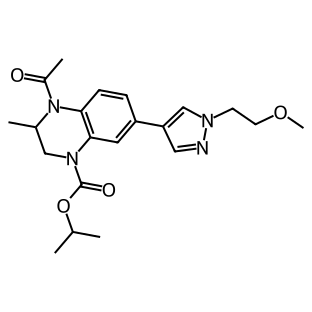 COCCn1cc(-c2ccc3c(c2)N(C(=O)OC(C)C)CC(C)N3C(C)=O)cn1